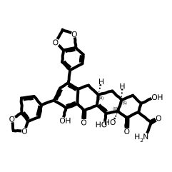 NC(=O)C1C(=O)[C@@]2(O)C(O)=C3C(=O)c4c(O)c(-c5ccc6c(c5)OCO6)cc(-c5ccc6c(c5)OCO6)c4C[C@H]3C[C@H]2CC1O